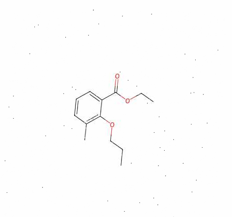 CCCOc1c(C)cccc1C(=O)OCC